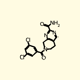 NC(=O)c1n[c]c2c(n1)CN(C(=O)c1cc(Cl)cc(Cl)c1)CC2